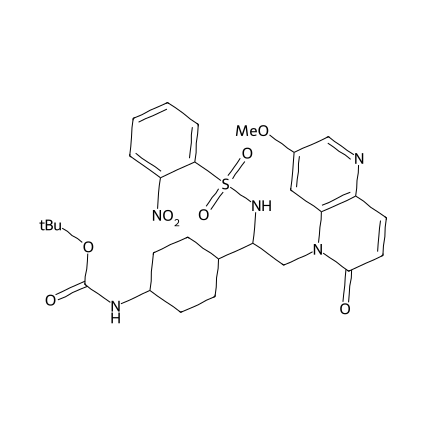 COc1cnc2ccc(=O)n(CC(NS(=O)(=O)c3ccccc3[N+](=O)[O-])C3CCC(NC(=O)OC(C)(C)C)CC3)c2c1